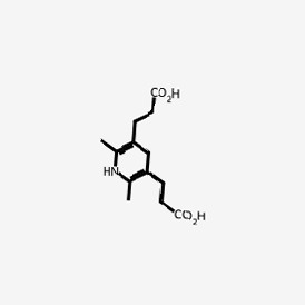 CC1=C(CCC(=O)O)CC(CCC(=O)O)=C(C)N1